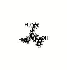 Cc1cccnc1CCOc1nc(N2CCC3CNC(C3)C2)c2cnc(-c3cc(O)cc4ccccc34)c(F)c2n1